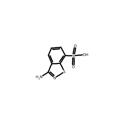 Nc1nsc2c(S(=O)(=O)O)cccc12